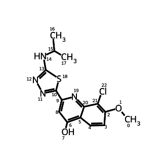 COc1ccc2c(O)cc(-c3nnc(NC(C)C)s3)nc2c1Cl